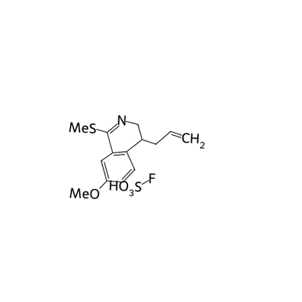 C=CCC1CN=C(SC)c2cc(OC)ccc21.O=S(=O)(O)F